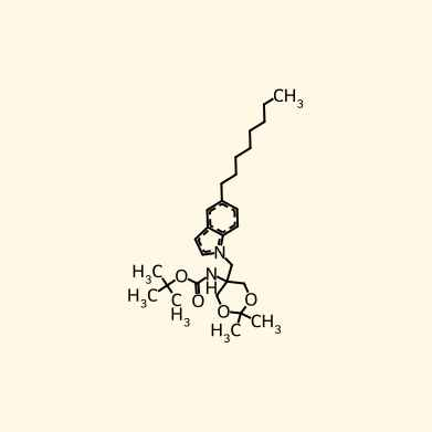 CCCCCCCCc1ccc2c(ccn2CC2(NC(=O)OC(C)(C)C)COC(C)(C)OC2)c1